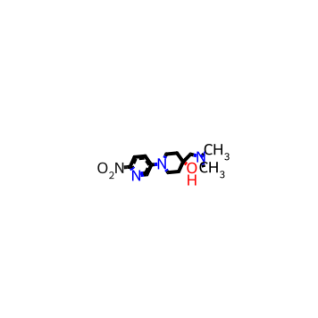 CN(C)CC1(O)CCN(c2ccc([N+](=O)[O-])nc2)CC1